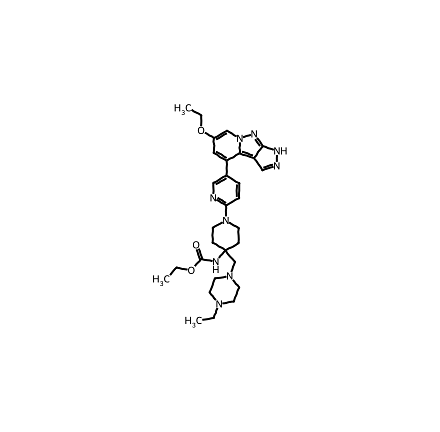 CCOC(=O)NC1(CN2CCN(CC)CC2)CCN(c2ccc(-c3cc(OCC)cn4nc5[nH]ncc5c34)cn2)CC1